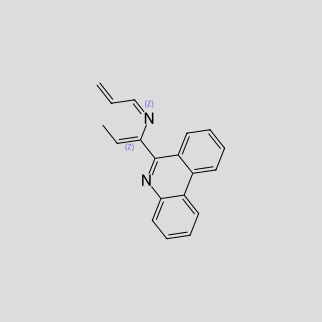 C=C/C=N\C(=C/C)c1nc2ccccc2c2ccccc12